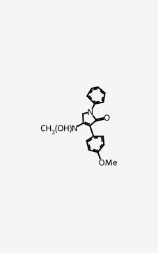 COc1ccc(C2=C(N(C)O)CN(c3ccccc3)C2=O)cc1